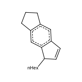 CCCCCC[C]1C=Cc2cc3c(cc21)CCC3